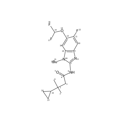 CC(C)(CC(=O)Nc1nc2cc(F)c(OC(F)F)cc2n1C(C)(C)C)C1CC1